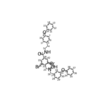 O=C(NCCc1ccc(Oc2ccccc2)cc1)c1cc(Br)c(CN(O)Cc2cccc(Oc3ccccc3)c2)c(Br)c1